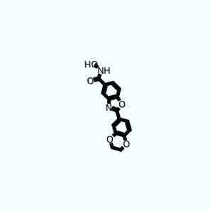 O=C(NO)c1ccc2oc(-c3ccc4c(c3)OCCO4)nc2c1